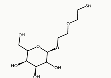 OCC1O[C@@H](OCCOCCS)C(O)[C@@H](O)[C@H]1O